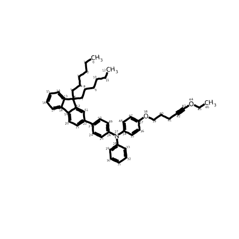 CCCCCCC1(CCCCCC)c2ccccc2-c2ccc(-c3ccc(N(c4ccccc4)c4ccc(OCCCC#COCC)cc4)cc3)cc21